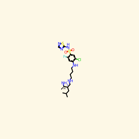 CC(C)CC(CNCCCCNc1cc(F)c(S(=O)(=O)Nc2ncns2)cc1Cl)[C@@H](C)N